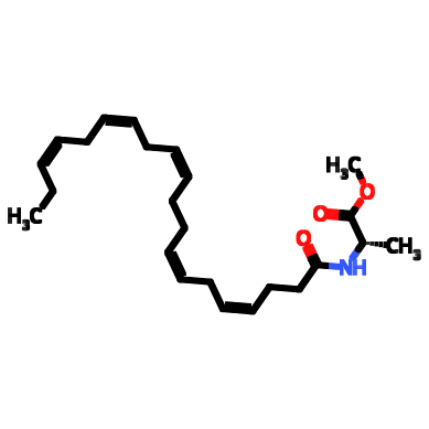 CC/C=C\C/C=C\C/C=C\CC/C=C\C/C=C\CCC(=O)N[C@@H](C)C(=O)OC